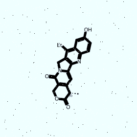 CCc1c2c(nc3ccc(O)cc13)-c1cc3c(c(=O)n1C2)COC(=O)[C@H]3C